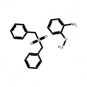 COc1ccccc1N.O=S(=O)(Cc1ccccc1)Cc1ccccc1